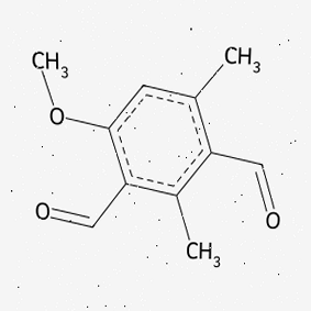 COc1cc(C)c(C=O)c(C)c1C=O